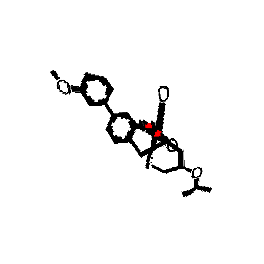 COc1cccc(-c2ccc3c(c2)C2(NC(=O)NC2=O)[C@]2(CC[C@H](OC(C)C)CC2)C3)c1